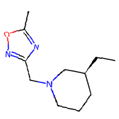 CC[C@H]1CCCN(Cc2noc(C)n2)C1